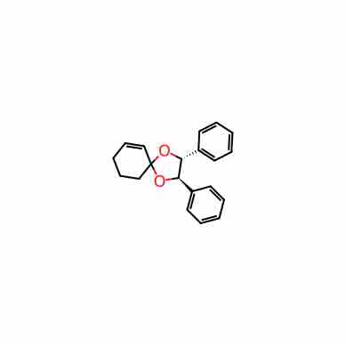 C1=CC2(CCC1)O[C@H](c1ccccc1)[C@@H](c1ccccc1)O2